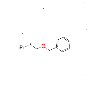 CC(C)[CH]COCc1ccccc1